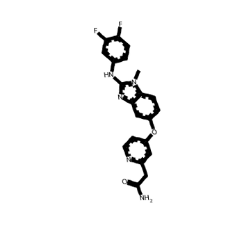 Cn1c(Nc2ccc(F)c(F)c2)nc2cc(Oc3ccnc(CC(N)=O)c3)ccc21